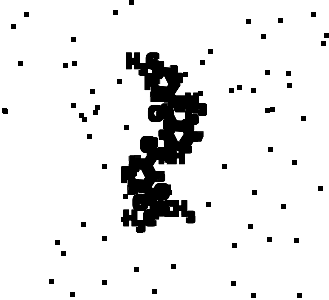 Cc1ccc(NC(=O)c2cc(NC(=O)c3cncc(S(=O)(=O)N(C)C)c3)ccc2C)cn1